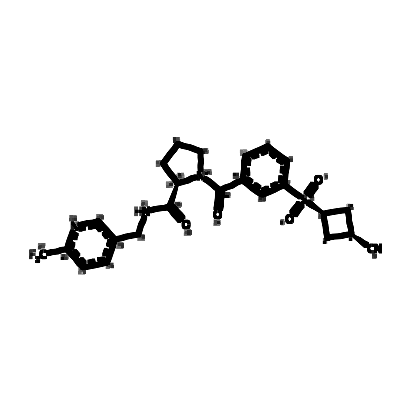 N#C[C@H]1C[C@@H](S(=O)(=O)c2cccc(C(=O)N3CCC[C@@H]3C(=O)NCc3ccc(C(F)(F)F)nc3)c2)C1